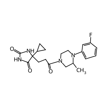 CC1CN(C(=O)CCC2(C3CC3)NC(=O)NC2=O)CCN1c1cccc(F)c1